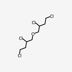 ClCCC(Cl)COCC(Cl)CCCl